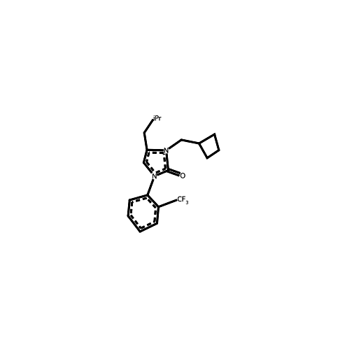 CC(C)Cc1cn(-c2ccccc2C(F)(F)F)c(=O)n1CC1CCC1